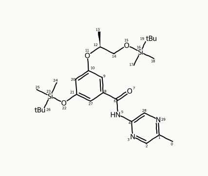 Cc1cnc(NC(=O)c2cc(O[C@@H](C)CO[Si](C)(C)C(C)(C)C)cc(O[Si](C)(C)C(C)(C)C)c2)cn1